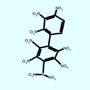 Nc1ccc(-c2c([N+](=O)[O-])c([N+](=O)[O-])c(N([N+](=O)[O-])[N+](=O)[O-])c([N+](=O)[O-])c2[N+](=O)[O-])c([N+](=O)[O-])c1[N+](=O)[O-]